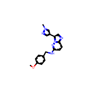 COc1ccc(CNc2ccc3ncc(-c4cnn(C)c4)n3n2)cc1